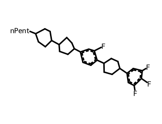 CCCCCC1CCC(C2CCC(c3ccc(C4CCC(c5cc(F)c(F)c(F)c5)CC4)c(F)c3)CC2)CC1